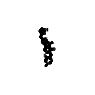 C/N=C(Cn1ncc2c3sc(Cc4cc[nH]n4)nc3n(C)c2c1=O)\C(F)=C/NC